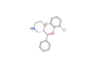 Clc1cccc(Cl)c1O[C@@H](c1ccccc1)[C@@H]1CNCCO1